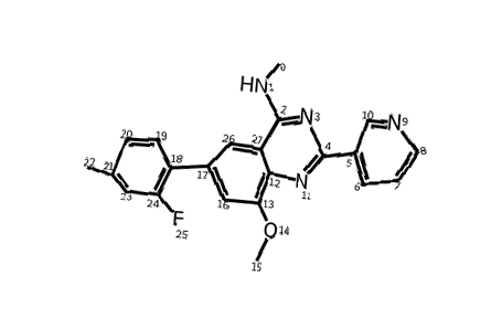 CNc1nc(-c2cccnc2)nc2c(OC)cc(-c3ccc(C)cc3F)cc12